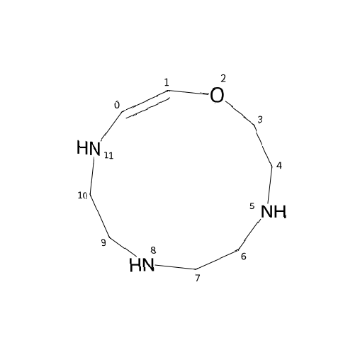 C1=COCCNCCNCCN1